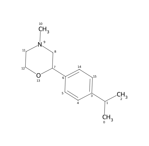 CC(C)c1ccc(C2CN(C)CCO2)cc1